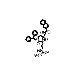 CNC(=N)NCCC[C@@H]1N[C@H](CNC(=O)c2ccc3ccccc3c2)CCN(CC(c2ccccc2)c2ccccc2)C1=O